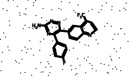 Nc1nnc(-c2ccc3nccc(C(F)(F)F)c3c2)c(-c2ccc(F)cc2)n1